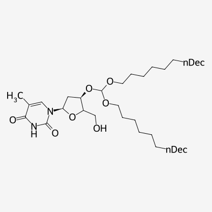 CCCCCCCCCCCCCCCCOC(OCCCCCCCCCCCCCCCC)O[C@@H]1C[C@H](n2cc(C)c(=O)[nH]c2=O)OC1CO